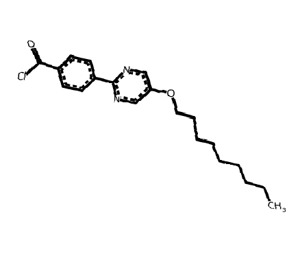 CCCCCCCCCOc1cnc(-c2ccc(C(=O)Cl)cc2)nc1